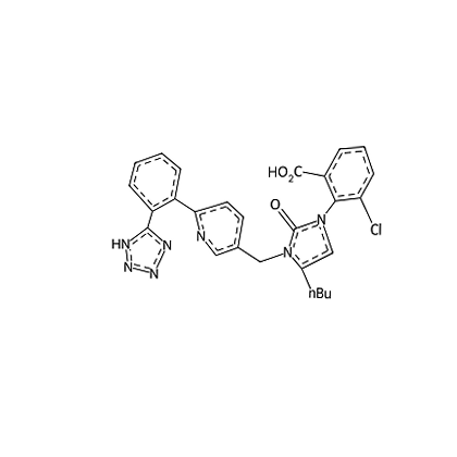 CCCCc1cn(-c2c(Cl)cccc2C(=O)O)c(=O)n1Cc1ccc(-c2ccccc2-c2nnn[nH]2)nc1